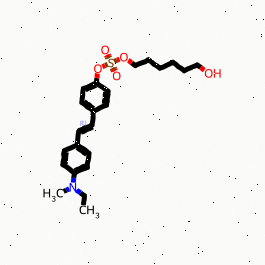 CCN(C)c1ccc(/C=C/c2ccc(OS(=O)(=O)OCCCCCCO)cc2)cc1